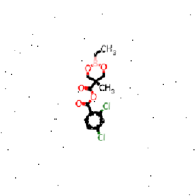 CCB1OCC(C)(C(=O)OC(=O)c2ccc(Cl)cc2Cl)CO1